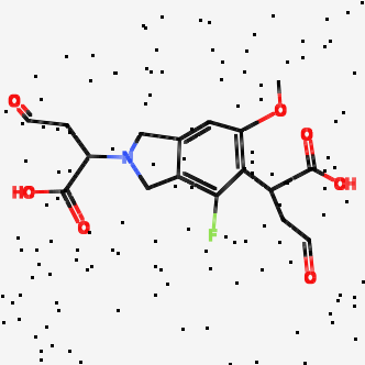 COc1cc2c(c(F)c1C(CC=O)C(=O)O)CN(C(CC=O)C(=O)O)C2